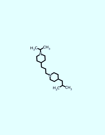 CC(C)CC1CCN(CCCC2CCN(C(C)C)CC2)CC1